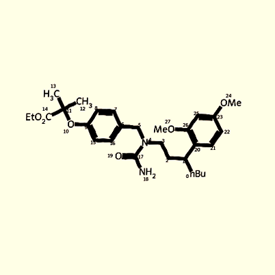 CCCCC(CCN(Cc1ccc(OC(C)(C)C(=O)OCC)cc1)C(N)=O)c1ccc(OC)cc1OC